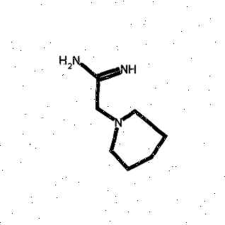 N=C(N)CN1CCCCC1